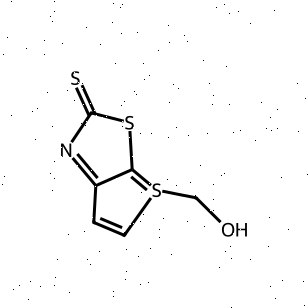 OCS1=C2SC(=S)N=C2C=C1